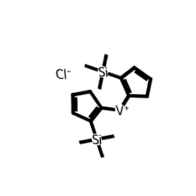 C[Si](C)(C)C1=[C]([V+][C]2=C([Si](C)(C)C)C=CC2)CC=C1.[Cl-]